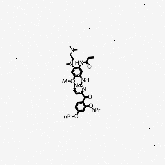 C=CC(=O)Nc1cc(Nc2nccc(C(=O)c3ccc(OCCC)cc3OCCC)n2)c(OC)cc1N(C)CCN(C)C